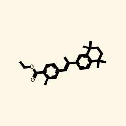 CCOC(=O)c1ccc(/C=C(\C)c2ccc3c(c2)C(C)(C)CCC3(C)C)cc1C